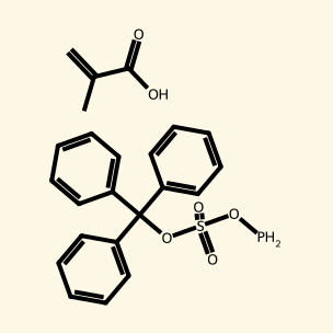 C=C(C)C(=O)O.O=S(=O)(OP)OC(c1ccccc1)(c1ccccc1)c1ccccc1